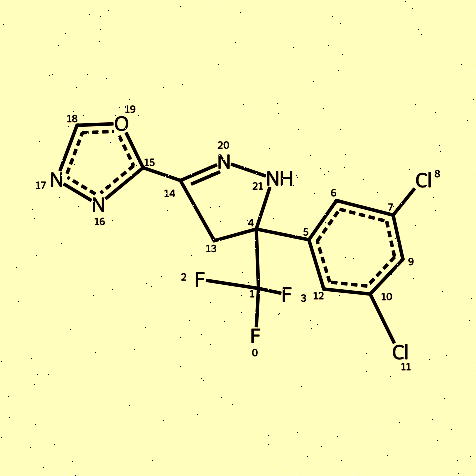 FC(F)(F)C1(c2cc(Cl)cc(Cl)c2)CC(c2nnco2)=NN1